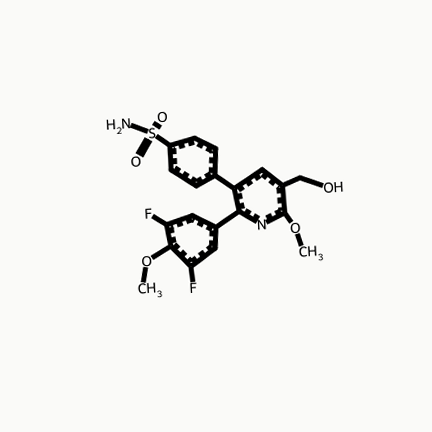 COc1nc(-c2cc(F)c(OC)c(F)c2)c(-c2ccc(S(N)(=O)=O)cc2)cc1CO